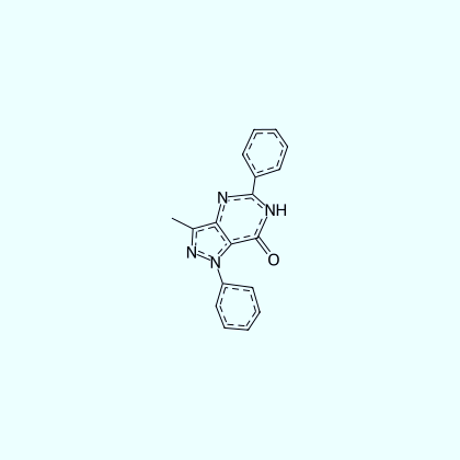 Cc1nn(-c2ccccc2)c2c(=O)[nH]c(-c3ccccc3)nc12